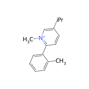 Cc1ccccc1-c1ccc(C(C)C)c[n+]1C